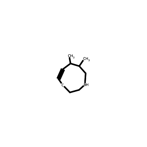 CC1C#CCCCBCC1C